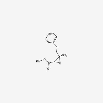 CC(C)(C)OC(=O)C1OC1(N)CCc1ccccc1